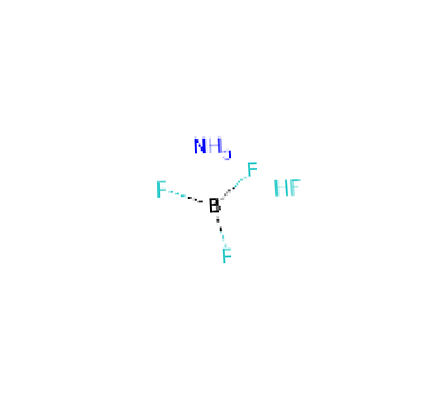 F.FB(F)F.N